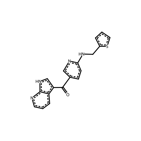 O=C(c1ccc(NCc2cccs2)nc1)c1c[nH]c2ncccc12